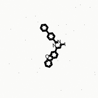 Ic1cc(-c2ccc3c(c2)oc2ccccc23)nc(-c2ccc(-c3ccccc3)cc2)n1